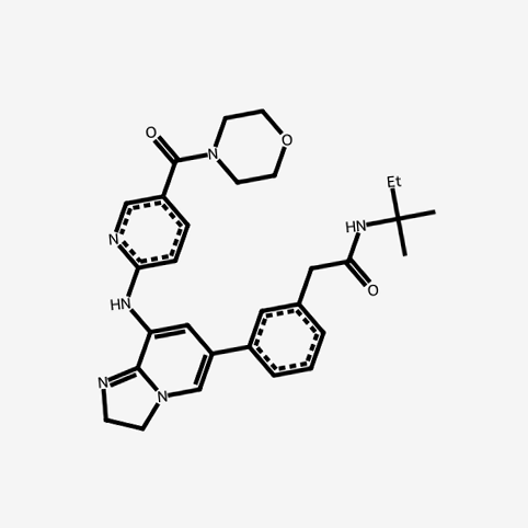 CCC(C)(C)NC(=O)Cc1cccc(C2=CN3CCN=C3C(Nc3ccc(C(=O)N4CCOCC4)cn3)=C2)c1